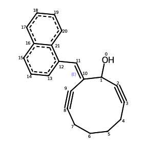 OC1C#CCCCCC#C/C1=C\c1cccc2ccccc12